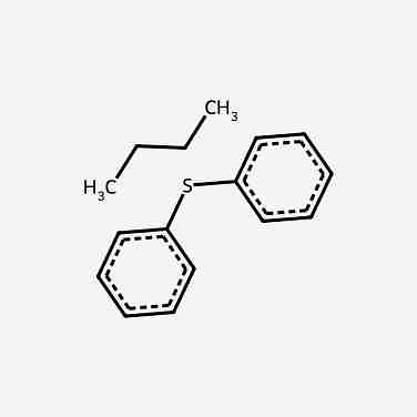 CCCC.c1ccc(Sc2ccccc2)cc1